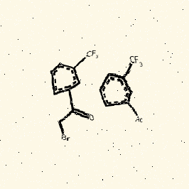 CC(=O)c1cccc(C(F)(F)F)c1.O=C(CBr)c1cccc(C(F)(F)F)c1